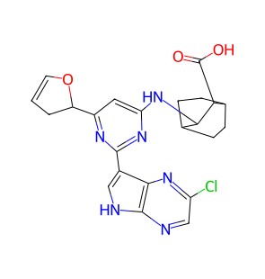 O=C(O)C1C2CCC(CC2)C1Nc1cc(C2CC=CO2)nc(-c2c[nH]c3ncc(Cl)nc23)n1